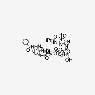 CC(C)C(=O)Nc1nc2c(ncn2[C@@H]2O[C@H](CO)[C@H](F)[C@H]2OP(=O)(O)OC[C@@]23CO[C@@H]([C@H](n4cnc5c(NC(=O)c6ccccc6)ncnc54)O2)[C@@H]3O)c(=O)[nH]1